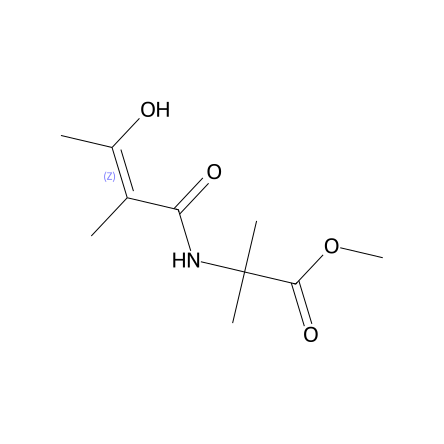 COC(=O)C(C)(C)NC(=O)/C(C)=C(/C)O